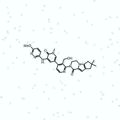 COc1ccc(Nc2cc(-c3ccnc(N4CCn5c(cc6c5CC(C)(C)C6)C4=O)c3CO)cn(C)c2=O)nn1